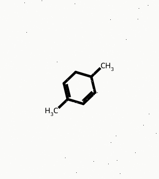 CC1=CCC(C)[C]=C1